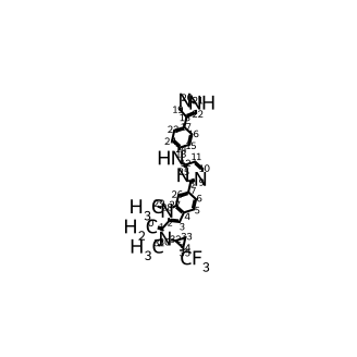 C=C(c1cc2ccc(-c3nccc(Nc4ccc(-c5cn[nH]c5)cc4)n3)cc2n1C)N(C)C1CC1C(F)(F)F